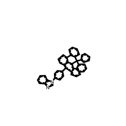 c1ccc(C2(c3ccccc3)c3ccccc3-c3cccc4c(-c5ccc(-n6cnc7ccccc76)cc5)c5ccccc5c2c34)cc1